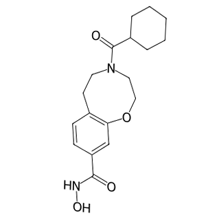 O=C(NO)c1ccc2c(c1)OCCN(C(=O)C1CCCCC1)CC2